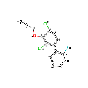 C=CCOc1c(Cl)ccc(-c2ccccc2F)c1Cl